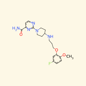 COc1ccc(F)cc1OCCCNC1CCN(c2nccc(C(N)=O)n2)CC1